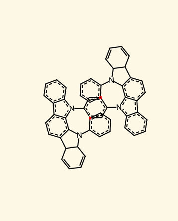 C1=CC2c3ccc4c5ccccc5n(-c5ccc(-n6c7ccccc7c7ccc8c(c76)N(c6ccccc6)C6C=CC=CC86)cc5)c4c3N(c3ccccc3)C2C=C1